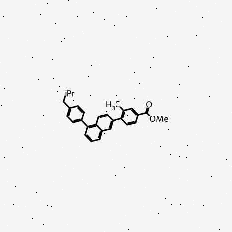 COC(=O)c1ccc(-c2ccc3c(-c4ccc(CC(C)C)cc4)cccc3c2)c(C)c1